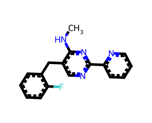 CNc1nc(-c2ccccn2)ncc1Cc1ccccc1F